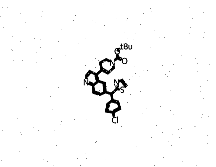 CC(C)(C)OC(=O)N1CC=C(c2ccnc3ccc(C(c4ccc(Cl)cc4)c4nccs4)cc23)CC1